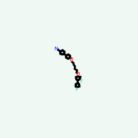 N#Cc1ccc(-c2ccc(OCCCCCCCOc3ccc(-c4ccc(F)cc4)c(F)c3)cc2)cc1